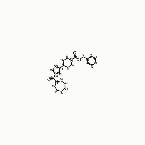 O=C(OCc1ccccc1)N1CCC(c2cc(C(=O)N3CCCCCC3)cs2)CC1